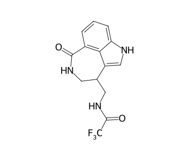 O=C1NCC(CNC(=O)C(F)(F)F)c2c[nH]c3cccc1c23